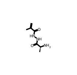 C=C(C)C(=O)NNC(=O)[C@H](C)N